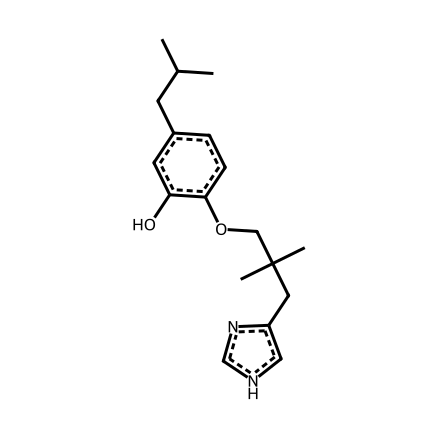 CC(C)Cc1ccc(OCC(C)(C)Cc2c[nH]cn2)c(O)c1